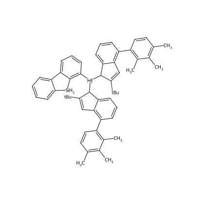 Cc1ccc(-c2cccc3c2C=C(C(C)(C)C)[CH]3[Hf]([c]2cccc3c2[SiH2]c2ccccc2-3)[CH]2C(C(C)(C)C)=Cc3c(-c4ccc(C)c(C)c4C)cccc32)c(C)c1C